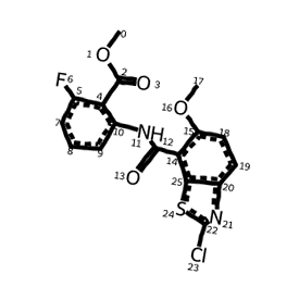 COC(=O)c1c(F)cccc1NC(=O)c1c(OC)ccc2nc(Cl)sc12